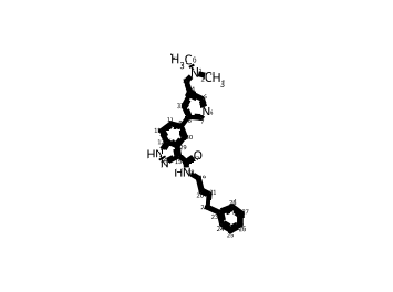 CN(C)Cc1cncc(-c2ccc3[nH]nc(C(=O)NCCCCc4ccccc4)c3c2)c1